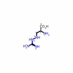 N=C(N)NNC[C@H](N)C(=O)O